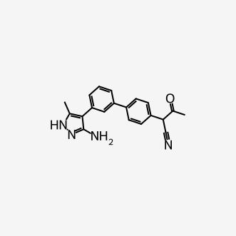 CC(=O)C(C#N)c1ccc(-c2cccc(-c3c(N)n[nH]c3C)c2)cc1